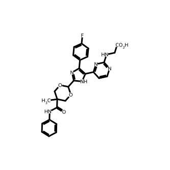 CC1(C(=O)Nc2ccccc2)COC(c2nc(-c3ccc(F)cc3)c(-c3ccnc(NCC(=O)O)n3)[nH]2)OC1